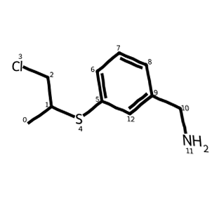 CC(CCl)Sc1cccc(CN)c1